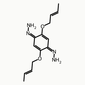 CC=CCOC1=CC(=NN)C(OCC=CC)=CC1=NN